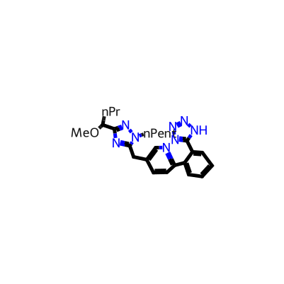 CCCCCn1nc(C(CCC)OC)nc1Cc1ccc(-c2ccccc2-c2nnn[nH]2)nc1